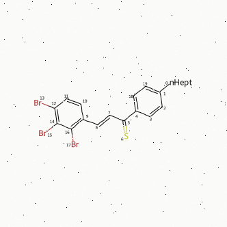 CCCCCCCc1ccc(C(=S)C=Cc2ccc(Br)c(Br)c2Br)cc1